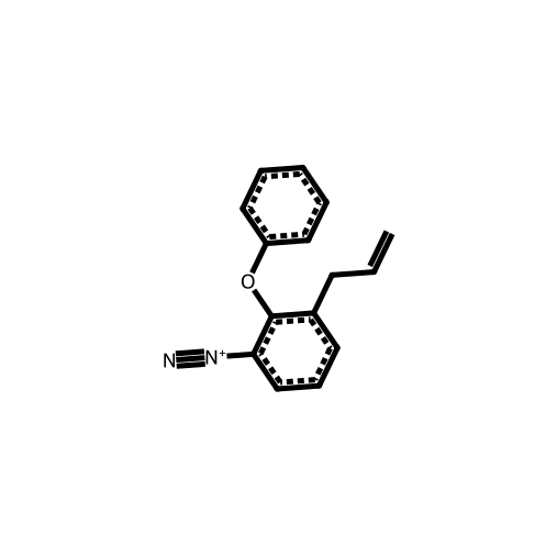 C=CCc1cccc([N+]#N)c1Oc1ccccc1